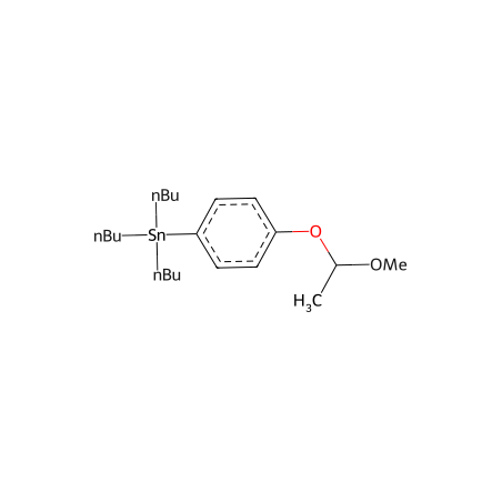 CCC[CH2][Sn]([CH2]CCC)([CH2]CCC)[c]1ccc(OC(C)OC)cc1